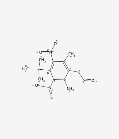 Cc1c(CC=O)c(C)c([N+](=O)[O-])c(C(C)(C)C)c1[N+](=O)[O-]